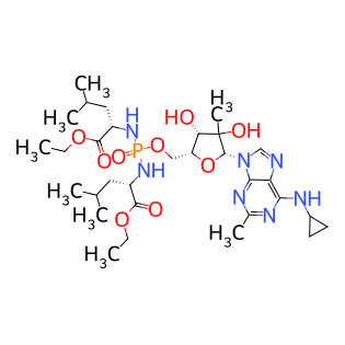 CCOC(=O)[C@H](CC(C)C)NP(=O)(N[C@@H](CC(C)C)C(=O)OCC)OC[C@H]1O[C@@H](n2cnc3c(NC4CC4)nc(C)nc32)C(C)(O)[C@H]1O